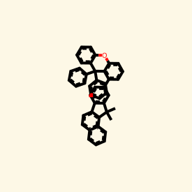 CC1(C)c2cc(-c3cccc4c3C(c3ccccc3)(c3ccccc3)c3ccccc3O4)ccc2-c2ccc3ccccc3c21